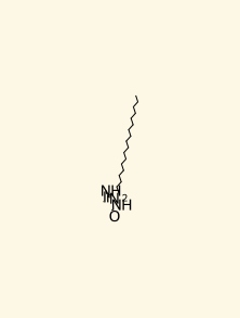 CCCCCCCCCCCCCCCCCC[N](NC=O)[Ir]([CH3])[NH2]